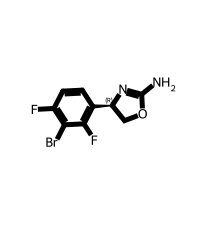 NC1=N[C@H](c2ccc(F)c(Br)c2F)CO1